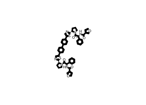 O=C(N[C@@H](C(=O)N1CCC[C@H]1c1ncc(-c2ccc(-c3ccc(-c4cnc([C@@H]5CCCN5C(=O)[C@H](NC(=O)c5ccoc5)c5ccccc5)s4)cc3)cc2)s1)c1ccccc1)c1ccoc1